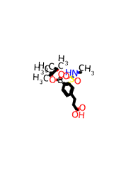 CCNS(=O)(=O)c1cc(CCC(=O)O)ccc1B1OC(C)(C)C(C)(C)O1